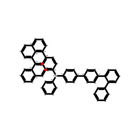 c1ccc(-c2ccccc2-c2ccc(-c3ccc(N(c4ccccc4)c4ccc(-c5cccc6cccc(-c7cccc8ccccc78)c56)cc4)cc3)cc2)cc1